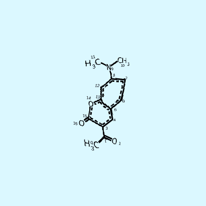 CC(=O)c1cc2ccc(N(C)C)cc2oc1=O